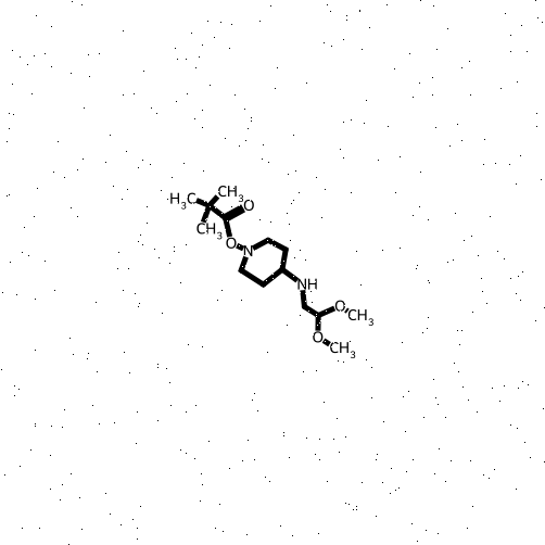 COC(CNC1CCN(OC(=O)C(C)(C)C)CC1)OC